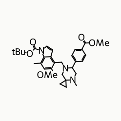 COC(=O)c1ccc(C2CN(C)C3(CC3)CN2Cc2c(OC)cc(C)c3c2ccn3C(=O)OC(C)(C)C)cc1